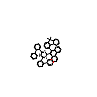 CC1(C)c2ccccc2-c2c(-c3c(-c4nc(-c5ccccc5-c5ccccc5)nc(-c5ccccc5-c5ccccc5)n4)c4ccccc4c4ccccc34)cccc21